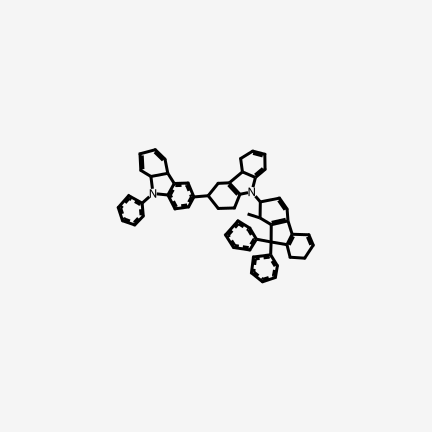 CC1C2=C(C=CC1N1C3=CC=CCC3C3=C1CCC(c1ccc4c(c1)C1C=CC=CC1N4c1ccccc1)C3)C1=C(CCC=C1)C2(c1ccccc1)c1ccccc1